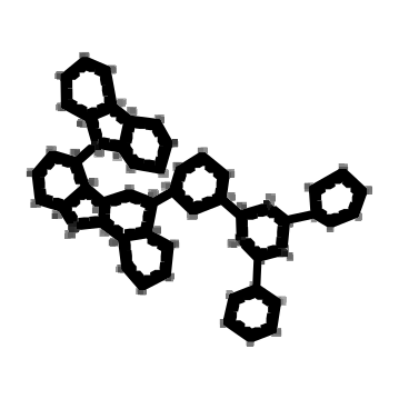 c1ccc(-c2nc(-c3ccccc3)nc(-c3cccc(-c4cc5c(oc6cccc(-n7c8ccccc8c8ccccc87)c65)c5ccccc45)c3)n2)cc1